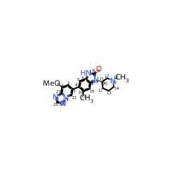 COc1cc(-c2cc3[nH]c(=O)n([C@@H]4CCCN(C)C4)c3cc2C)cn2ncnc12